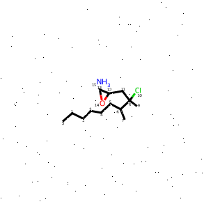 CCCCCCC(C)C(C)(Cl)CC1CO1.N